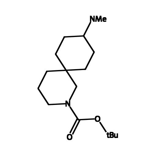 CNC1CCC2(CCCN(C(=O)OC(C)(C)C)C2)CC1